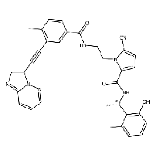 Cc1ccc(C(=O)NCCn2c(C#N)ccc2C(=O)N[C@@H](C)c2c(O)cccc2F)cc1C#Cc1cnc2cccnn12